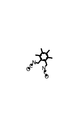 Cc1c(C)c(C)c(CN=C=O)c(CN=C=O)c1C